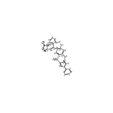 CCCc1nc(-c2ccccc2)cn1Cc1ccc2c(c1)CCc1ccccc1C2=Cc1noc(=O)[nH]1